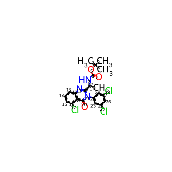 C[C@H](NC(=O)OC(C)(C)C)c1nc2cccc(Cl)c2c(=O)n1-c1cc(Cl)cc(Cl)c1